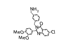 COc1ccc(-c2nc3ccc(Cl)cc3c(=O)n2Cc2cccc(CN)c2)cc1OC